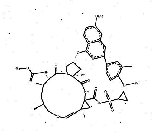 COc1ccc2c(O[C@@H]3C[C@H]4C(=O)N[C@]5(C(=O)NS(=O)(=O)C6CC6)C[C@H]5/C=C\CC[C@@H](C)C[C@@H](C)[C@H](NC(=O)OC(C)(C)C)C(=O)N4C3)nc(-c3ccc(OC(C)C)c(F)c3)cc2c1